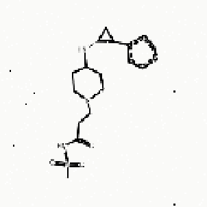 CS(=O)(=O)NC(=O)CCN1CCC(N[C@@H]2C[C@H]2c2ccccc2)CC1